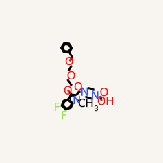 Cn1c(C(=O)N2CCN(C(=O)O)CC2)c(OCCOCCOCc2ccccc2)c2cc(F)c(F)cc21